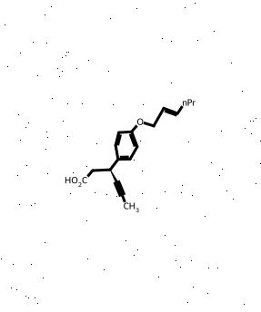 CC#C[C@@H](CC(=O)O)c1ccc(OCC=CCCC)cc1